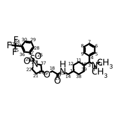 CN(C)C(c1ccccc1)C1CCC(CNC(=O)COC2CCN(S(=O)(=O)c3cccc(C(F)(F)F)c3)C2)CC1